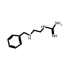 N=C(N)NCCNCc1ccccc1